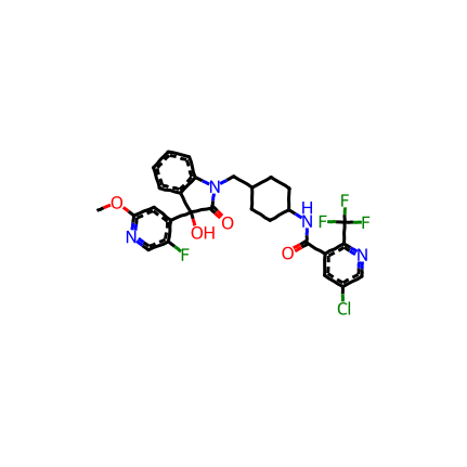 COc1cc(C2(O)C(=O)N(CC3CCC(NC(=O)c4cc(Cl)cnc4C(F)(F)F)CC3)c3ccccc32)c(F)cn1